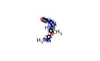 Cc1c(Oc2ccc3c(c2)ncn3C)ccc(Nc2ncnc3ccc(C4CC5COCC(C4)N5)nc23)c1F